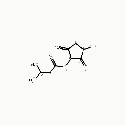 [2H]C1CC(=O)C(OC(=O)CC(C)C)C1=O